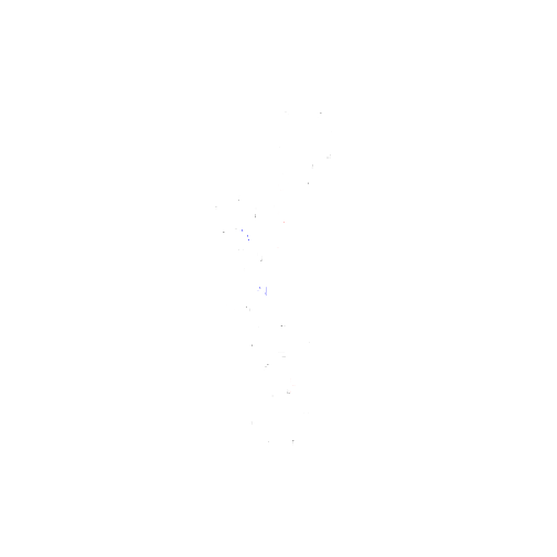 O=C(NCC(=O)N1C2CCC1(C(=O)OCc1ccccc1)CC2)c1ccc(Oc2ccccc2)cc1